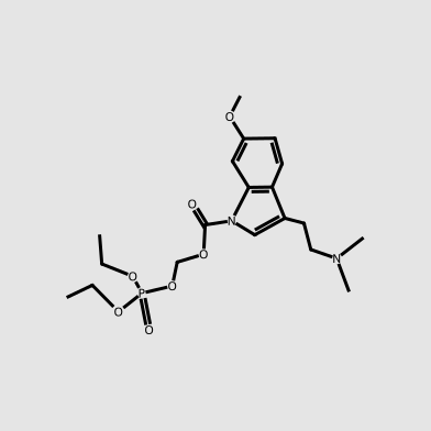 CCOP(=O)(OCC)OCOC(=O)n1cc(CCN(C)C)c2ccc(OC)cc21